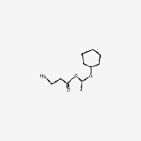 CC(OC(=O)CCS)OC1CCCCC1